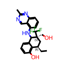 CC[C@@H]1C[C@](CO)(C(F)(F)F)C(Nc2cccc3nc(C)ncc23)c2cccc(O)c21